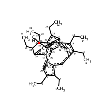 CCc1c(CC)c2cc3c(CC)c(CC)c4cc5n6c(cc7c(CC)c(CC)c(cc1n2-6)n7n43)C(CC)C5CC